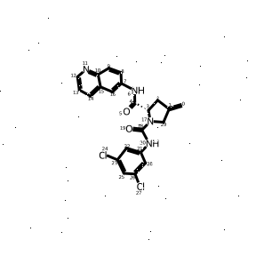 C=C1C[C@@H](C(=O)Nc2ccc3ncccc3c2)N(C(=O)Nc2cc(Cl)cc(Cl)c2)C1